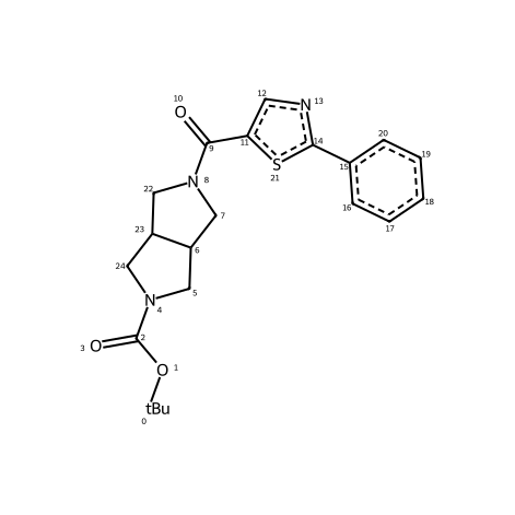 CC(C)(C)OC(=O)N1CC2CN(C(=O)c3cnc(-c4ccccc4)s3)CC2C1